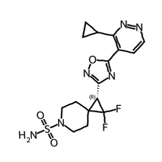 NS(=O)(=O)N1CCC2(CC1)[C@H](c1noc(-c3ccnnc3C3CC3)n1)C2(F)F